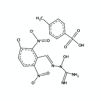 Cc1ccc(S(=O)(=O)O)cc1.N=C(N)N(O)/N=C/c1c([N+](=O)[O-])ccc(Cl)c1[N+](=O)[O-]